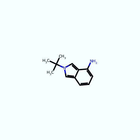 CC(C)(C)n1cc2cccc(N)c2c1